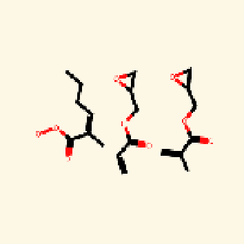 C=C(C)C(=O)OCC1CO1.C=CC(=O)OCC1CO1.CCCC=C(C)C(=O)OO